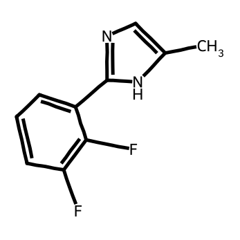 Cc1cnc(-c2cccc(F)c2F)[nH]1